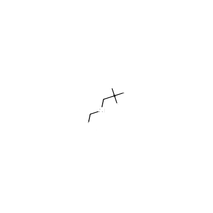 [CH2]CNCC(F)(F)F